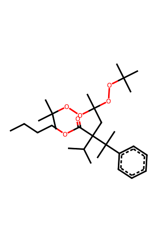 CCCCOC(=O)C(CC(C)(OOC(C)(C)C)OOC(C)(C)C)(C(C)C)C(C)(C)c1ccccc1